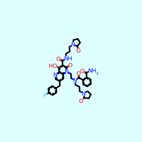 NC(=O)c1ccccc1C(=O)N(CCCN1CCCC1=O)CCn1c(=O)c(C(=O)NCCCN2CCCC2=O)c(O)c2ncc(Cc3ccc(F)cc3)cc21